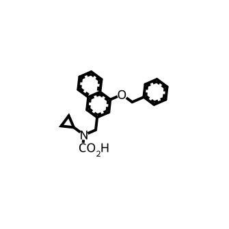 O=C(O)N(Cc1cc(OCc2ccccc2)c2ccccc2c1)C1CC1